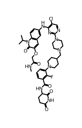 CNC(=O)COc1cc2cc(Nc3nc(N4CCN(CC5CCN(c6cccc(C(=O)NC7CCC(=O)NC7=O)c6F)CC5)CC4)ncc3Cl)ccc2n(C(C)C)c1=O